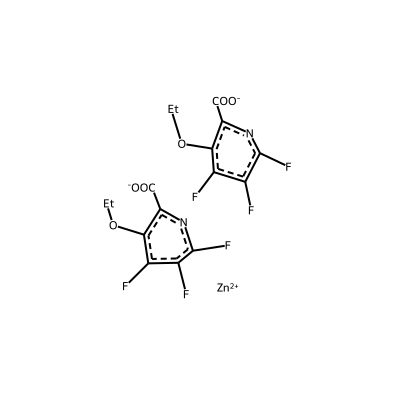 CCOc1c(C(=O)[O-])nc(F)c(F)c1F.CCOc1c(C(=O)[O-])nc(F)c(F)c1F.[Zn+2]